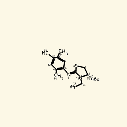 CCCC[C@H]1CSC(=Nc2cc(C)c(C#N)cc2C)N1CC(C)C